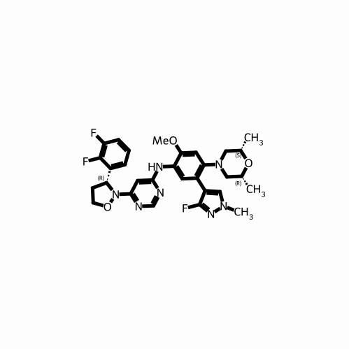 COc1cc(N2C[C@@H](C)O[C@@H](C)C2)c(-c2cn(C)nc2F)cc1Nc1cc(N2OCC[C@@H]2c2cccc(F)c2F)ncn1